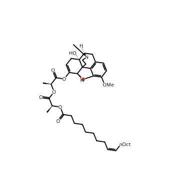 CCCCCCCC/C=C\CCCCCCCC(=O)O[C@@H](C)C(=O)O[C@@H](C)C(=O)OC1=CC[C@@]2(O)[C@H]3Cc4ccc(OC)c5c4C2(CCN3C)[C@H]1O5